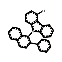 Clc1cccc2c1c1ccccc1n2-c1c(-c2ccccc2)ccc2ccccc12